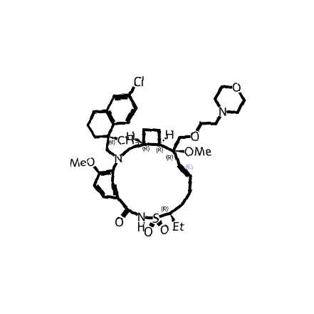 CC[C@@H]1CC/C=C/[C@](COCCN2CCOCC2)(OC)[C@@H]2CC[C@H]2CN(C[C@]2(C)CCCc3cc(Cl)ccc32)c2cc(ccc2OC)C(=O)NS1(=O)=O